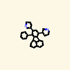 c1ccc(-c2c(-c3cccnc3)cc(-c3cccnc3)c3c2-c2cccc4cccc-3c24)cc1